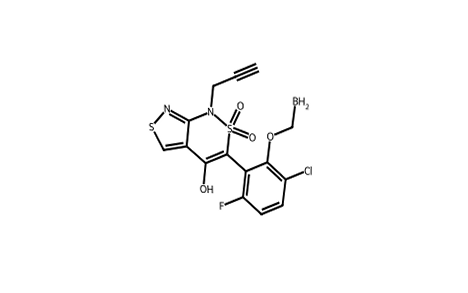 BCOc1c(Cl)ccc(F)c1C1=C(O)c2csnc2N(CC#C)S1(=O)=O